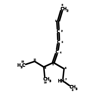 C=C=C=C=C=C(CNC)C(C)CC